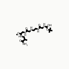 COC(CNC(=O)CNCCNC(=O)CNC(O)OC(C)(C)C)NCC(C)C(N)=O